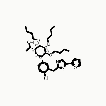 CCCCO[C@@H]1[C@@H](OCCCC)[C@H](c2ccc(Cl)c(Cc3ncc(-c4ccco4)s3)c2)O[C@H](C(C)O)[C@H]1OCCCC